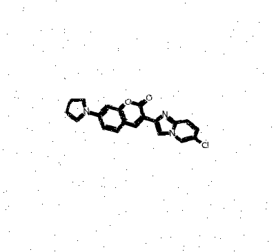 O=c1oc2cc(N3C[CH]CC3)ccc2cc1-c1cn2cc(Cl)ccc2n1